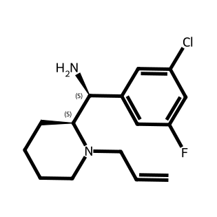 C=CCN1CCCC[C@H]1[C@@H](N)c1cc(F)cc(Cl)c1